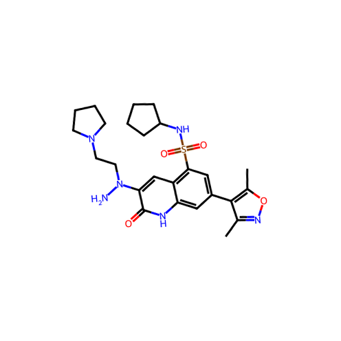 Cc1noc(C)c1-c1cc(S(=O)(=O)NC2CCCC2)c2cc(N(N)CCN3CCCC3)c(=O)[nH]c2c1